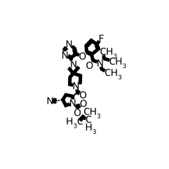 CCN(C(=O)c1cc(F)ccc1Oc1cncnc1N1CC2(CCN(C(=O)[C@@H]3C[C@@H](C#N)CN3C(=O)OC(C)(C)C)CC2)C1)C(C)C